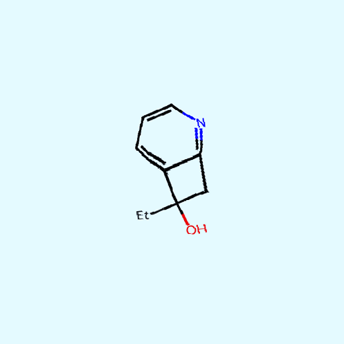 CCC1(O)Cc2ncccc21